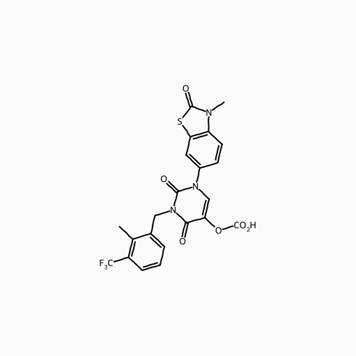 Cc1c(Cn2c(=O)c(OC(=O)O)cn(-c3ccc4c(c3)sc(=O)n4C)c2=O)cccc1C(F)(F)F